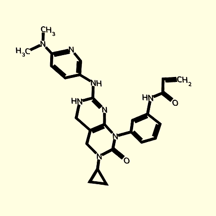 C=CC(=O)Nc1cccc(N2C(=O)N(C3CC3)CC3=C2N=C(Nc2ccc(N(C)C)nc2)NC3)c1